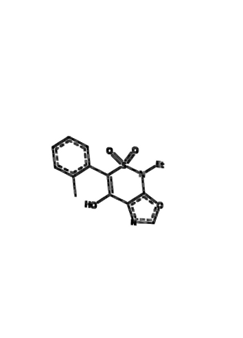 CCN1c2ocnc2C(O)=C(c2ccccc2C)S1(=O)=O